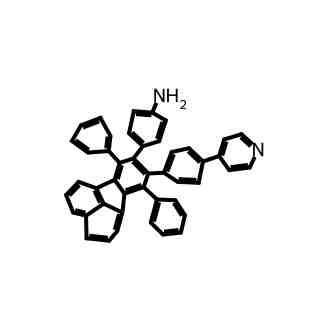 Nc1ccc(-c2c(-c3ccc(-c4ccncc4)cc3)c(-c3ccccc3)c3c(c2-c2ccccc2)-c2cccc4cccc-3c24)cc1